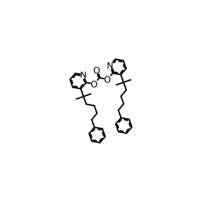 CC(C)(CCCCc1ccccc1)c1cccnc1OC(=O)Oc1ncccc1C(C)(C)CCCCc1ccccc1